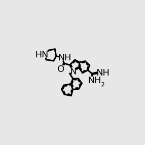 N=C(N)c1ccc2cc(C(=O)NC3CCNCC3)n(Cc3cccc4ccccc34)c2c1